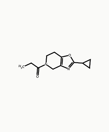 CCC(=O)N1CCc2oc(C3CC3)nc2C1